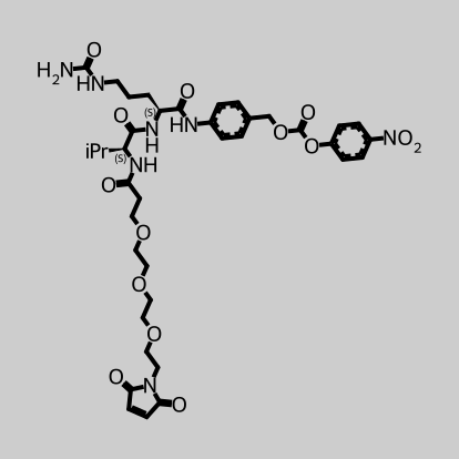 CC(C)[C@H](NC(=O)CCOCCOCCOCCN1C(=O)C=CC1=O)C(=O)N[C@@H](CCCNC(N)=O)C(=O)Nc1ccc(COC(=O)Oc2ccc([N+](=O)[O-])cc2)cc1